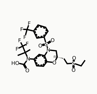 CCS(=O)(=O)CC[C@H]1CN(S(=O)(=O)c2cccc(C(F)(F)F)c2)c2cc(N(C(=O)O)C(C)(C)C(F)(F)F)ccc2O1